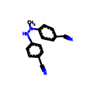 CN(Nc1ccc(C#N)cc1)c1ccc(C#N)cc1